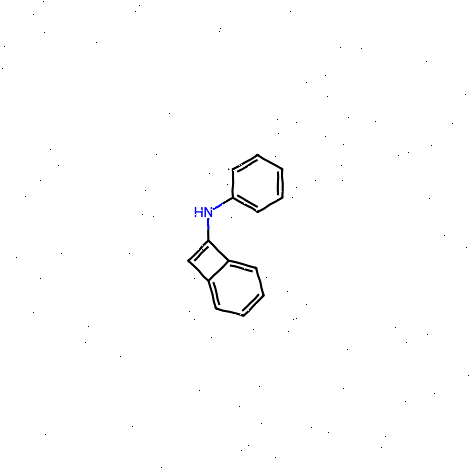 [c]1ccccc1NC1=Cc2ccccc21